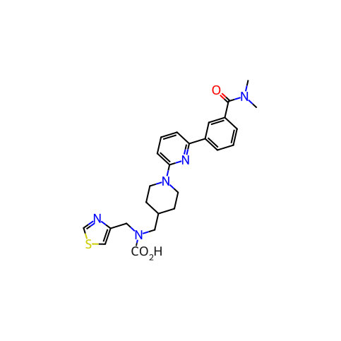 CN(C)C(=O)c1cccc(-c2cccc(N3CCC(CN(Cc4cscn4)C(=O)O)CC3)n2)c1